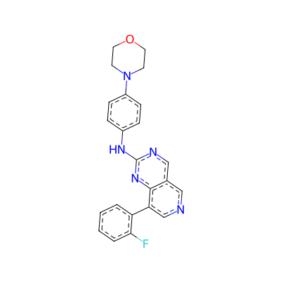 Fc1ccccc1-c1cncc2cnc(Nc3ccc(N4CCOCC4)cc3)nc12